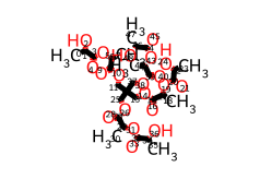 CC(O)C(=O)OC(C)C(=O)OCC(COC(=O)C(C)OC(=O)C(C)O)(COC(=O)C(C)OC(=O)C(C)O)COC(=O)C(C)OC(=O)C(C)O